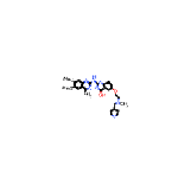 COc1cc2nc(Nc3nc(O)c4cc(OCCN(C)Cc5ccncc5)ccc4n3)nc(C)c2cc1OC